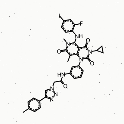 Cc1ccc(-c2cn(CC(=O)Nc3cccc(-n4c(=O)n(C5CC5)c(=O)c5c(Nc6ccc(I)cc6F)n(C)c(=O)c(C)c54)c3)nn2)cc1